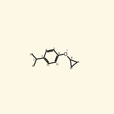 CC(C)c1ccc(OC2CC2)cc1